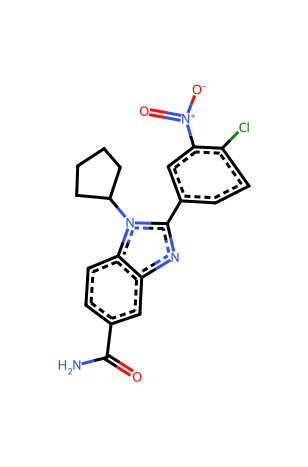 NC(=O)c1ccc2c(c1)nc(-c1ccc(Cl)c([N+](=O)[O-])c1)n2C1CCCC1